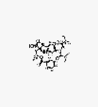 CC(C)C(=O)Oc1ccc(CC(N)(C[C@H](C)OC(=O)c2ccccc2)C(=O)O)cc1OC(=O)C(C)C